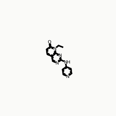 CCn1c(=O)ccc2cnc(Nc3ccncc3)nc21